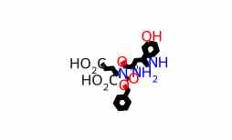 N[C@@H](Cc1c[nH]c2ccc(O)cc12)C(=O)N(C(=O)OCc1ccccc1)[C@@H](CCC(=O)O)C(=O)O